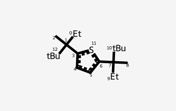 CCC(C)(c1ccc(C(C)(CC)C(C)(C)C)s1)C(C)(C)C